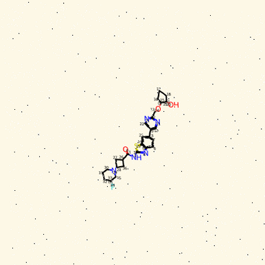 O=C(Nc1nc2ccc(-c3cnc(CO[C@H]4CCC[C@@H]4O)nc3)cc2s1)C1CC(N2CCC[C@@H](F)C2)C1